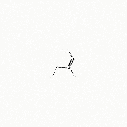 CCOC(=O)/C=C(\CC(C)=O)C(C)=O